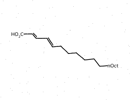 CCCCCCCCCCCCCCC=CC=CC(=O)O